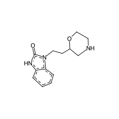 O=c1[nH]c2ccccc2n1CCC1CNCCO1